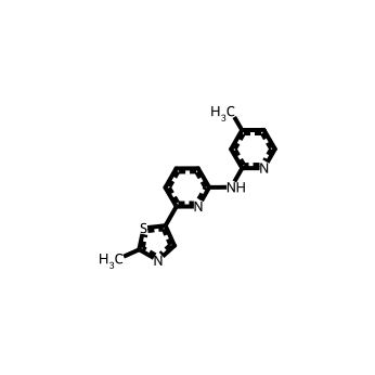 Cc1ccnc(Nc2cccc(-c3cnc(C)s3)n2)c1